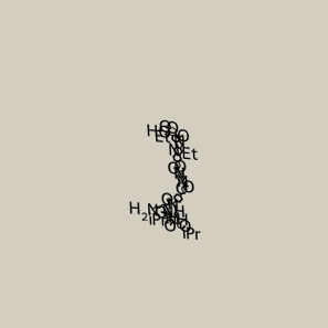 CCc1c2c(nc3ccc(OC(=O)N4CCN(C(=O)OCc5ccc(NC(=O)[C@H](CCCN)NC(=O)[C@@H](NC(=O)CCC(=O)C(C)C)C(C)C)cc5)CC4)cc13)-c1cc3c(c(=O)n1C2)COC(=O)[C@]3(O)CC